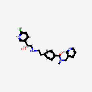 CN(Cc1cccnc1)C(=O)c1ccc(CCNC[C@H](O)c2ccc(Cl)nc2)cc1